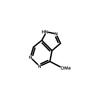 COc1nncc2[nH]ncc12